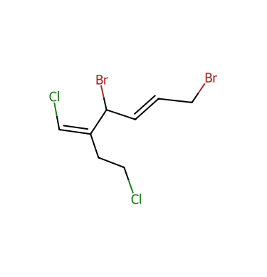 ClC=C(CCCl)C(Br)C=CCBr